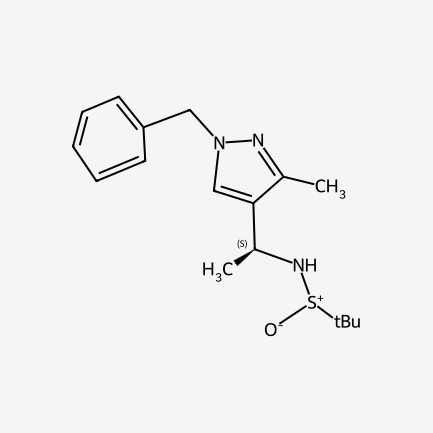 Cc1nn(Cc2ccccc2)cc1[C@H](C)N[S+]([O-])C(C)(C)C